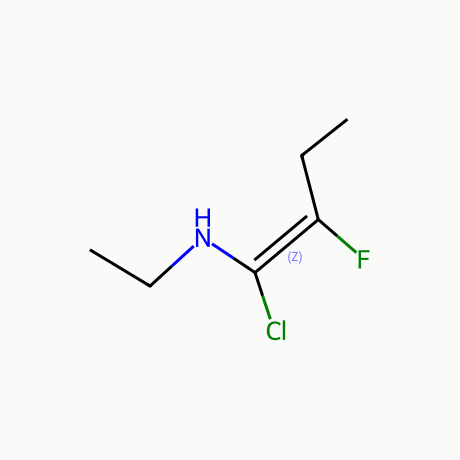 CCN/C(Cl)=C(/F)CC